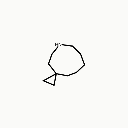 C1CCNCCC2(CC1)CC2